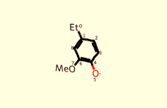 CCc1ccc([O])c(OC)c1